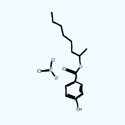 CCCCCCC(C)OC(=O)c1ccc(O)cc1.[O-][S+](Cl)Cl